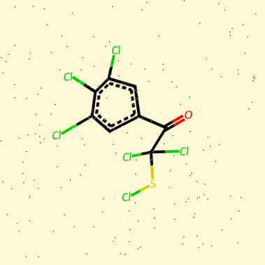 O=C(c1cc(Cl)c(Cl)c(Cl)c1)C(Cl)(Cl)SCl